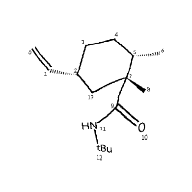 C=C[C@@H]1CC[C@H](C)[C@](C)(C(=O)NC(C)(C)C)C1